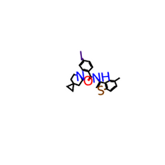 Cc1ccc2scc(NC(=O)c3ccc(I)cc3N3CCC4(CC3)CC4)c2c1